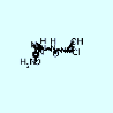 NC(=O)c1ccc2c(c1)nc(NCCCNC(=O)CCNCc1cc(Cl)cc(CO)c1)c1ccncc12